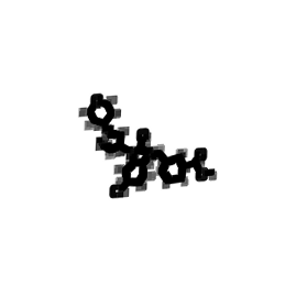 COC(=O)c1cccc(Cn2c(=O)n(-c3cnn(C4CCOCC4)c3)c3cc(Cl)ccc32)c1